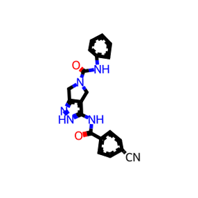 N#Cc1ccc(C(=O)Nc2[nH]nc3c2CN(C(=O)Nc2ccccc2)C3)cc1